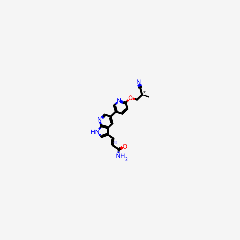 C[C@H](C#N)COc1ccc(-c2cnc3[nH]cc(/C=C/C(N)=O)c3c2)cn1